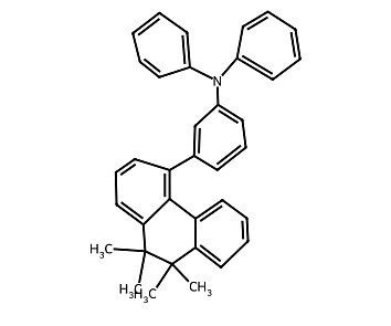 CC1(C)c2ccccc2-c2c(-c3cccc(N(c4ccccc4)c4ccccc4)c3)cccc2C1(C)C